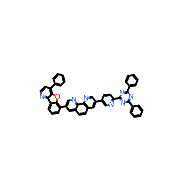 c1ccc(-c2nc(-c3ccccc3)nc(-c3ccc(-c4cnc5c(ccc6cc(-c7cccc8c7oc7c(-c9ccccc9)ccnc78)cnc65)c4)cn3)n2)cc1